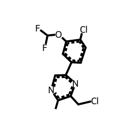 Cc1ncc(-c2ccc(Cl)c(OC(F)F)c2)nc1CCl